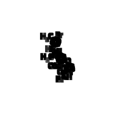 CCNC(=O)c1cc(Oc2cc3nc(Nc4ccc(Br)c(C)c4)n(C)c3cc2OC)ccn1